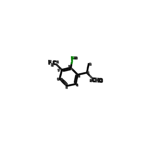 CC(C=O)c1cccc(C(F)(F)F)c1F